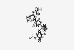 CCCc1cn(Cc2c(-c3ccc(N4C[C@H](CC(=O)O)CC(F)(F)C4)c(C)n3)nnn2C)ccc1=O